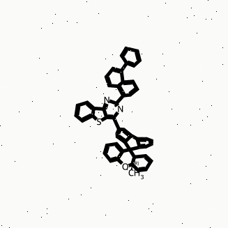 C[C@@]12C=CC=CC1C1(c3ccccc3O2)c2ccccc2-c2cc(-c3nc(-c4cccc5c(-c6ccccc6)cccc45)nc4c3sc3ccccc34)ccc21